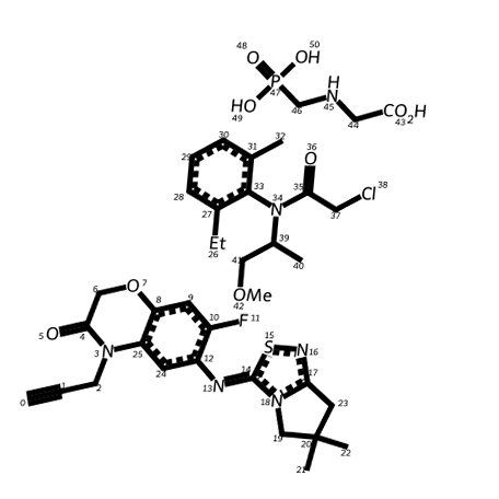 C#CCN1C(=O)COc2cc(F)c(/N=c3\snc4n3CC(C)(C)C4)cc21.CCc1cccc(C)c1N(C(=O)CCl)C(C)COC.O=C(O)CNCP(=O)(O)O